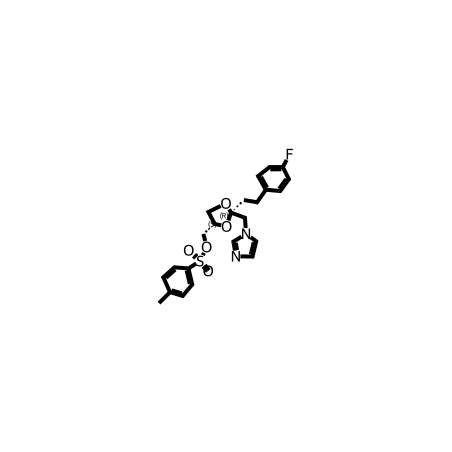 Cc1ccc(S(=O)(=O)OC[C@@H]2CO[C@@](CCc3ccc(F)cc3)(Cn3ccnc3)O2)cc1